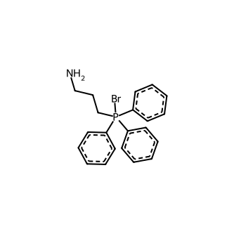 NCCCP(Br)(c1ccccc1)(c1ccccc1)c1ccccc1